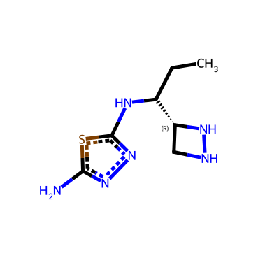 CCC(Nc1nnc(N)s1)[C@H]1CNN1